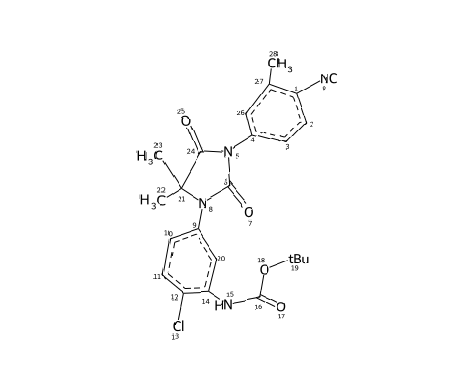 [C-]#[N+]c1ccc(N2C(=O)N(c3ccc(Cl)c(NC(=O)OC(C)(C)C)c3)C(C)(C)C2=O)cc1C